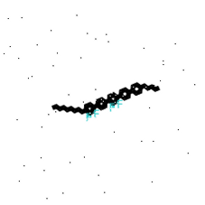 C/C=C/CCC1CCC(C2CCC(c3ccc(-c4ccc(-c5ccc(CCCCCCCCC)c(F)c5F)cc4)c(F)c3F)CC2)CC1